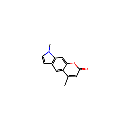 Cc1cc(=O)oc2cc3c(ccn3C)cc12